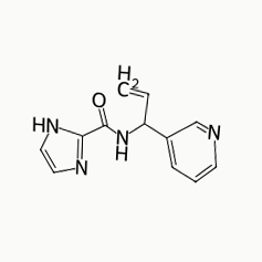 C=CC(NC(=O)c1ncc[nH]1)c1cccnc1